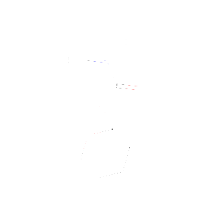 CN(C)C(=O)OC1([SiH3])CCCCO1